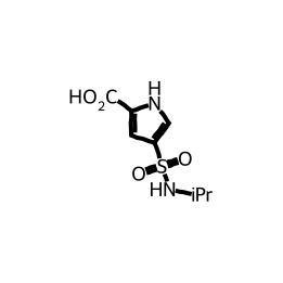 CC(C)NS(=O)(=O)c1c[nH]c(C(=O)O)c1